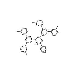 Cc1cccc(-c2cc(-c3cccc(C)c3)cc(-c3cc(-c4cc(-c5cccc(C)c5)cc(-c5cccc(C)c5)c4)nc(-c4ccccc4)n3)c2)c1